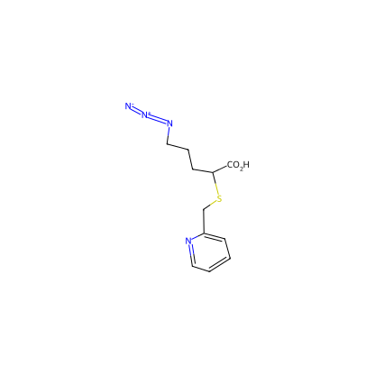 [N-]=[N+]=NCCCC(SCc1ccccn1)C(=O)O